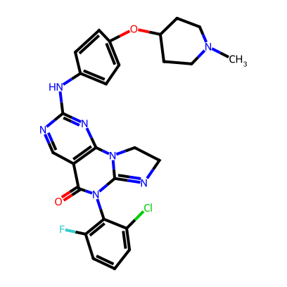 CN1CCC(Oc2ccc(Nc3ncc4c(n3)N3CCN=C3N(c3c(F)cccc3Cl)C4=O)cc2)CC1